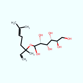 C=CC(C)(CCC=C(C)C)OC(O)[C@H](O)[C@@H](O)[C@H](O)[C@H](O)CO